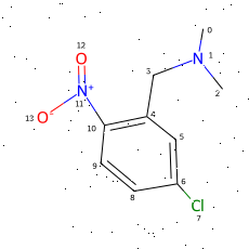 CN(C)Cc1cc(Cl)ccc1[N+](=O)[O-]